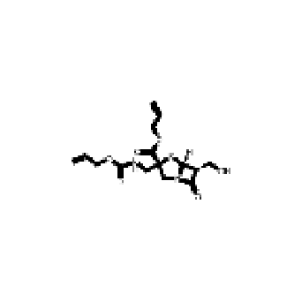 C=CCOC(=O)NCC1(C(=O)OCC=C)CN2C(=O)[C@H](CO)[C@H]2S1